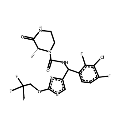 C[C@@H]1C(=O)NCCN1C(=O)NC(c1cnc(OCC(F)(F)F)s1)c1ccc(F)c(Cl)c1F